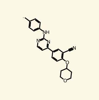 [CH2]c1ccc(Nc2nccc(-c3ccc(OC4CCOCC4)c(C#N)c3)n2)cc1